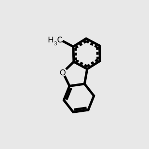 Cc1cccc2c1OC1=CC=CCC12